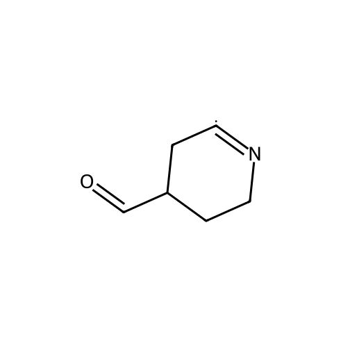 O=CC1C[C]=NCC1